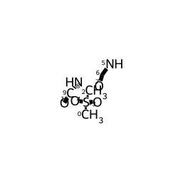 CS(C)(=O)=O.N=C=O.N=C=O